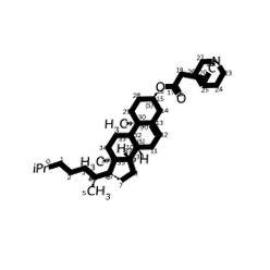 CC(C)CCC[C@@H](C)[C@H]1CC[C@H]2[C@@H]3CC=C4C[C@@H](OC(=O)CC5CN6CCC5CC6)CC[C@]4(C)C3CC[C@]12C